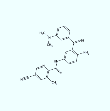 Cc1cc(C#N)cnc1C(=O)Nc1ccc(N)c(C(=N)c2cccc(N(C)C)c2)c1